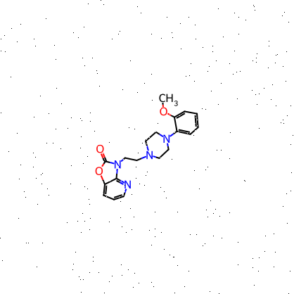 COc1ccccc1N1CCN(CCn2c(=O)oc3cccnc32)CC1